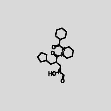 O=CN(O)C[C@@H](CC1CCCC1)C(=O)N1CCCCN1C(=O)C1CCCCC1